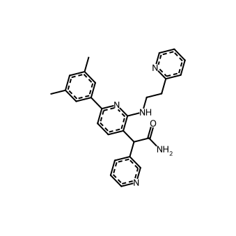 Cc1cc(C)cc(-c2ccc(C(C(N)=O)c3cccnc3)c(NCCc3ccccn3)n2)c1